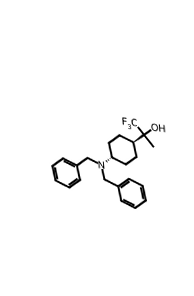 CC(O)([C@H]1CC[C@H](N(Cc2ccccc2)Cc2ccccc2)CC1)C(F)(F)F